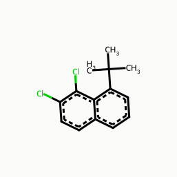 CC(C)(C)c1cccc2ccc(Cl)c(Cl)c12